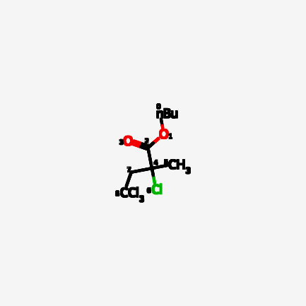 CCCCOC(=O)C(C)(Cl)CC(Cl)(Cl)Cl